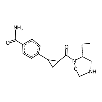 CC[C@@H]1CNCCN1C(=O)C1CC1c1ccc(C(N)=O)cc1